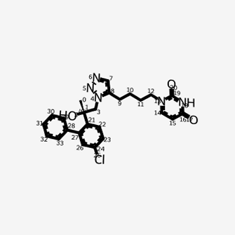 C[C@@](O)(Cn1nncc1CCCCn1ccc(=O)[nH]c1=O)c1ccc(Cl)cc1-c1ccccc1